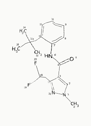 Cn1cc(C(=O)Nc2ccccc2C(C)(C)C)c(C(F)F)n1